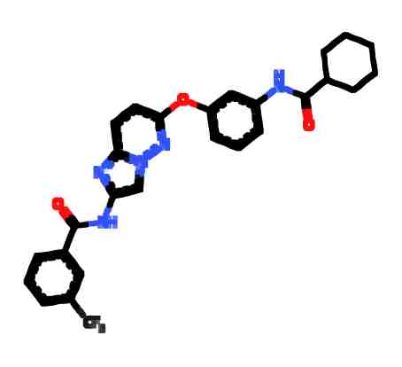 O=C(Nc1cn2nc(Oc3cccc(NC(=O)C4CCCCC4)c3)ccc2n1)c1cccc(C(F)(F)F)c1